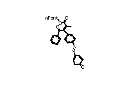 CCCCCOC(=O)C(C)=C(C(=O)c1ccccc1)c1ccc(N=NC2=CCC(=O)C=C2)cc1